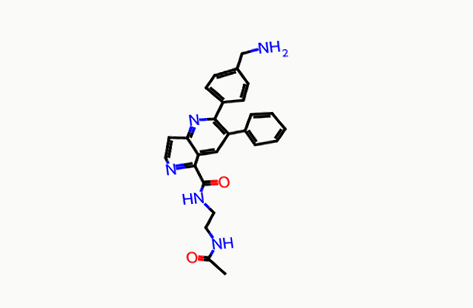 CC(=O)NCCNC(=O)c1nccc2nc(-c3ccc(CN)cc3)c(-c3ccccc3)cc12